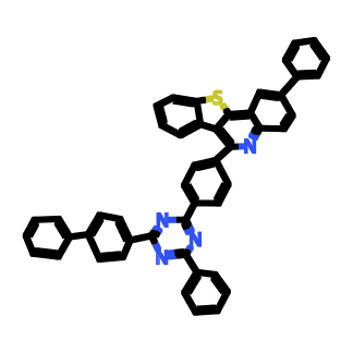 c1ccc(-c2ccc(-c3nc(-c4ccccc4)nc(-c4ccc(-c5nc6ccc(-c7ccccc7)cc6c6sc7ccccc7c56)cc4)n3)cc2)cc1